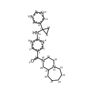 O=C(c1cnc(NC2(c3cncnc3)CC2)nc1)N1CCN2CCCCCC2C1